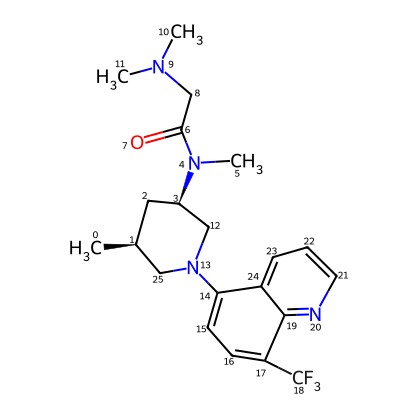 C[C@H]1C[C@@H](N(C)C(=O)CN(C)C)CN(c2ccc(C(F)(F)F)c3ncccc23)C1